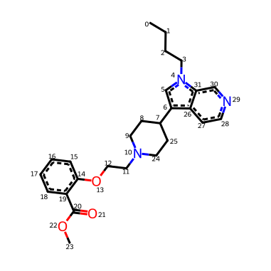 CCCCn1cc(C2CCN(CCOc3ccccc3C(=O)OC)CC2)c2ccncc21